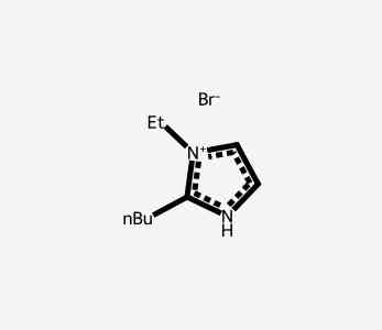 CCCCc1[nH]cc[n+]1CC.[Br-]